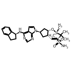 CC(C)(C)[Si](C)(C)O[C@H]1C[C@H](n2ccc3c(N[C@H]4CCc5ccccc54)ncnc32)C[C@H]1/C=C/S(N)(=O)=O